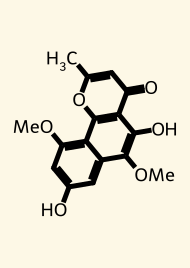 COc1c(O)c2c(=O)cc(C)oc2c2c(OC)cc(O)cc12